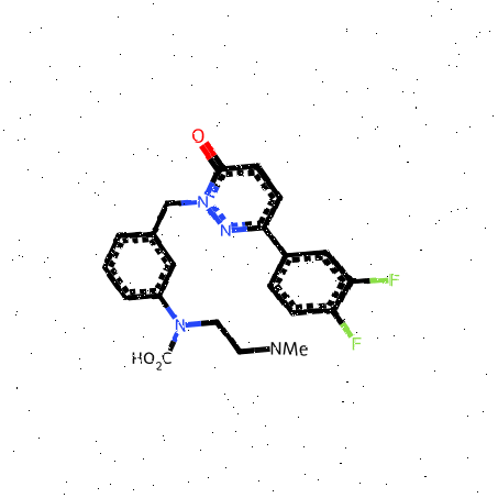 CNCCN(C(=O)O)c1cccc(Cn2nc(-c3ccc(F)c(F)c3)ccc2=O)c1